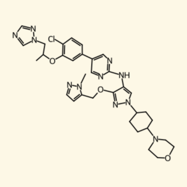 CC(Cn1cncn1)Oc1cc(-c2cnc(Nc3cn(C4CCC(N5CCOCC5)CC4)nc3OCc3ccnn3C)nc2)ccc1Cl